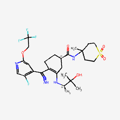 C[C@@H](NC1=C(C(=N)c2cc(OCC(F)(F)F)ncc2F)CC[C@@H](C(=O)NC2(C)CCS(=O)(=O)CC2)C1)C(C)(C)O